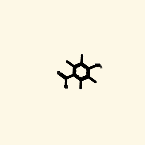 Cc1c(C)c([N+](=O)[O-])c(C)c(C)c1C(=O)Cl